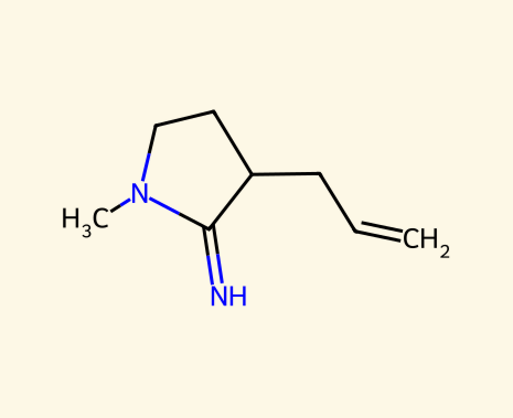 C=CCC1CCN(C)C1=N